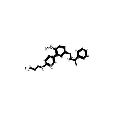 COc1ccc(CN[C@H](C)c2ccccc2)cc1-c1ccc(OCCN)nc1